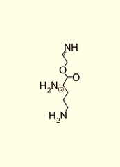 N=CCOC(=O)[C@@H](N)CCCN